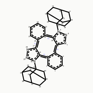 c1ccc2/c(c1)=c1/nnn(C34CC5CC(CC(C5)C3)C4)/c1=c1\cccc\c1=c1/nnn(C34CC5CC(CC(C5)C3)C4)/c1=2